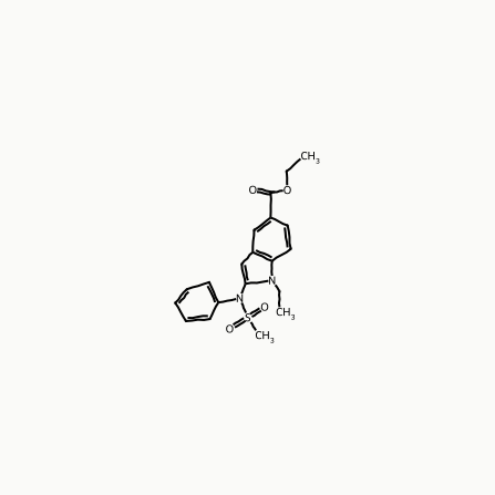 CCOC(=O)c1ccc2c(c1)cc(N(c1ccccc1)S(C)(=O)=O)n2CC